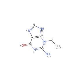 CCn1c(N)nc(=O)c2nc[nH]c21